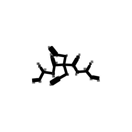 C#CCC(CC#C)(C(=O)OC(F)C=C)C(=O)OC(F)C=C